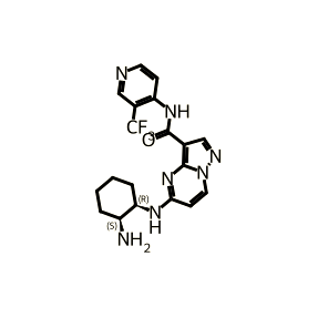 N[C@H]1CCCC[C@H]1Nc1ccn2ncc(C(=O)Nc3ccncc3C(F)(F)F)c2n1